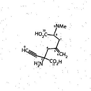 C#CC(N)(CC(=C)CC(NC)C(=O)O)C(=O)O